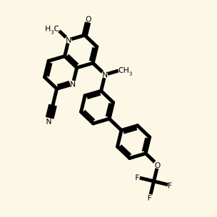 CN(c1cccc(-c2ccc(OC(F)(F)F)cc2)c1)c1cc(=O)n(C)c2ccc(C#N)nc12